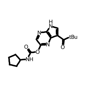 CC(C)(C)C(=O)c1c[nH]c2ncc(OC(=O)NC3CCCC3)nc12